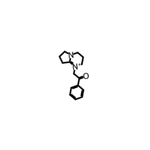 O=C(C[N+]1=C2CCCN2CCC1)c1ccccc1